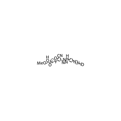 COCC(O)C(=O)N1CCC(Oc2ccc(-c3ncnc(Nc4ccc(N5CCN(C6COC6)CC5)cc4)n3)cc2C#N)C(F)C1